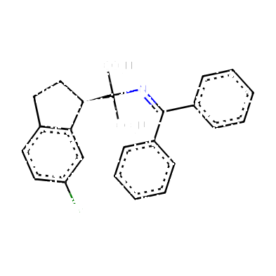 O=C(O)C(N=C(c1ccccc1)c1ccccc1)(C(=O)O)[C@@H]1CCc2ccc(Br)cc21